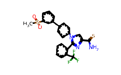 CS(=O)(=O)c1cccc(-c2ccc(-n3cc(C(N)=S)nc3-c3ccccc3C(F)(F)F)cc2)c1